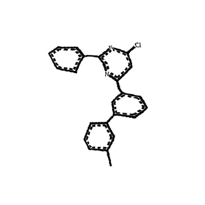 Cc1cccc(-c2cccc(-c3cc(Cl)nc(-c4ccccc4)n3)c2)c1